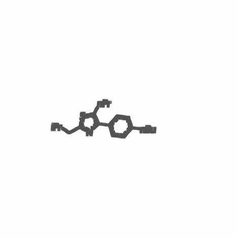 CCCCc1ccc(-c2nc(CC(C)C)sc2CCC)cc1